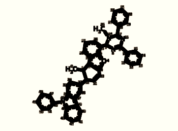 CC1c2c(oc3c(C4N=C(c5ccccc5)N=C(c5ccccc5)N4C)cccc23)C=CC1c1ccc2c(c1)c1ccccc1n2-c1ccccc1